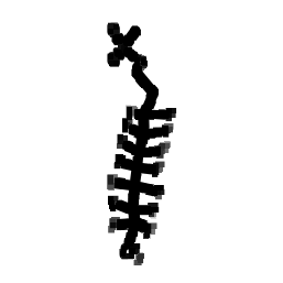 CS(=O)(=O)OCCC(F)(F)C(F)(F)C(F)(F)C(F)(F)C(F)(F)C(F)(F)C(F)(F)C(F)(F)F